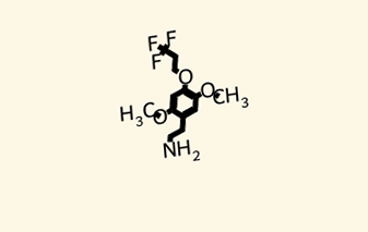 COc1cc(OCCC(F)(F)F)c(OC)cc1CCN